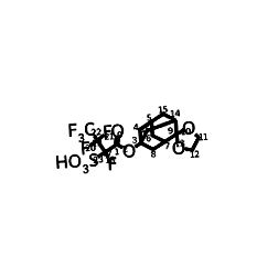 O=C(OC12CC3CC(C1)C1(OCCO1)C(C3)C2)C(F)(C(F)(F)C(F)(F)F)S(=O)(=O)O